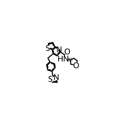 O=C(N[C@H]1CCOC1)c1cc(Cc2ccc(-c3nccs3)cc2)c2sccc2n1